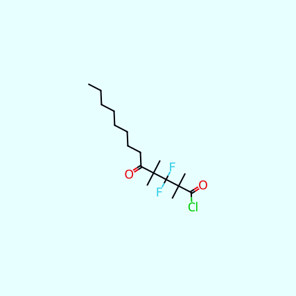 CCCCCCCCC(=O)C(C)(C)C(F)(F)C(C)(C)C(=O)Cl